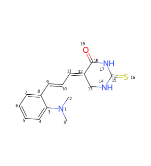 CN(C)c1ccccc1/C=C/C=C1\CNC(=S)NC1=O